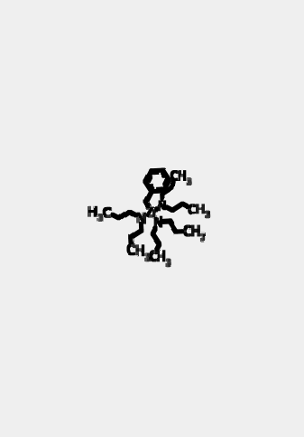 CCC[N](CCC)[Zr]([CH2]c1ccccc1)([N](CCC)CCC)[N](CCC)CCC